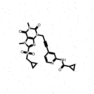 Cn1c(=O)c2c(nc(S(=O)(=O)CC3CC3)n2C)n(CC#Cc2ccnc(NC(=O)C3CC3)c2)c1=O